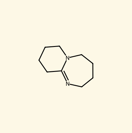 C1CCN2CCCCC2=NC1